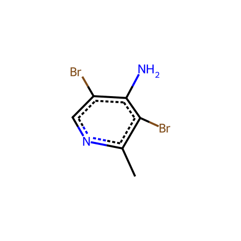 Cc1ncc(Br)c(N)c1Br